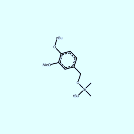 CCCCOc1ccc(CO[Si](C)(C)C(C)(C)C)cc1OC